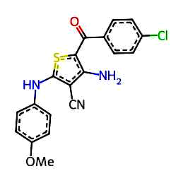 COc1ccc(Nc2sc(C(=O)c3ccc(Cl)cc3)c(N)c2C#N)cc1